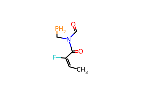 C/C=C(/F)C(=O)N(C=O)CP